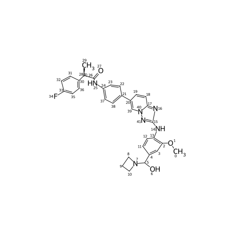 COc1cc(C(O)N2CCC2)ccc1Nc1nc2ccc(-c3ccc(NC(=O)[C@H](C)c4ccc(F)cc4)cc3)cn2n1